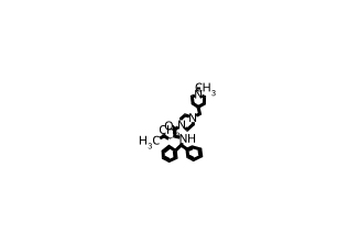 CC(C)C[C@@H](NC(c1ccccc1)c1ccccc1)C(=O)N1CCN(CC2CCN(C)CC2)CC1